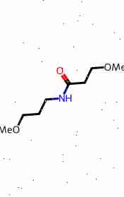 COCCCNC(=O)CCOC